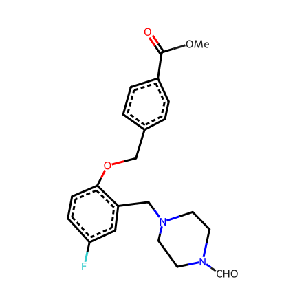 COC(=O)c1ccc(COc2ccc(F)cc2CN2CCN(C=O)CC2)cc1